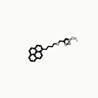 Cn1cc(COCCCCc2ccc3ccc4cccc5ccc2c3c45)nn1